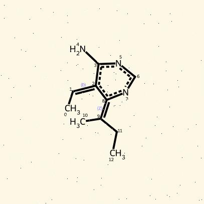 C/C=c1/c(N)ncn/c1=C(/C)CC